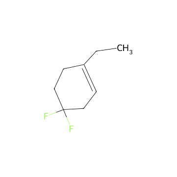 CCC1=CCC(F)(F)CC1